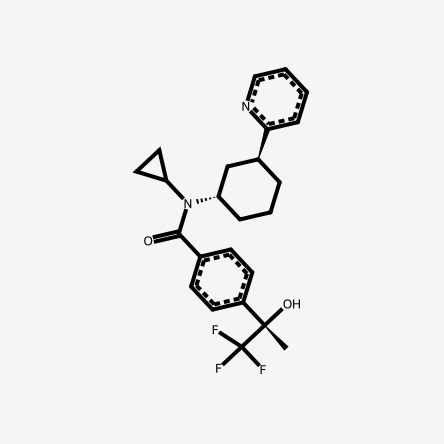 C[C@](O)(c1ccc(C(=O)N(C2CC2)[C@H]2CCC[C@H](c3ccccn3)C2)cc1)C(F)(F)F